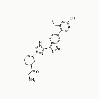 CCc1cc(O)ccc1-c1ccc2c(-c3nc(C4=CCCN(C(=O)CN)C4)c[nH]3)n[nH]c2c1